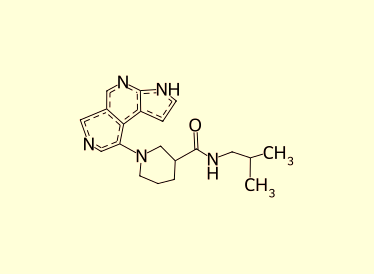 CC(C)CNC(=O)C1CCCN(c2cncc3cnc4[nH]ccc4c23)C1